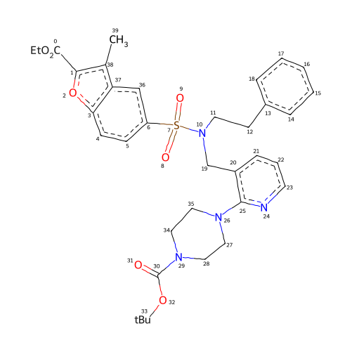 CCOC(=O)c1oc2ccc(S(=O)(=O)N(CCc3ccccc3)Cc3cccnc3N3CCN(C(=O)OC(C)(C)C)CC3)cc2c1C